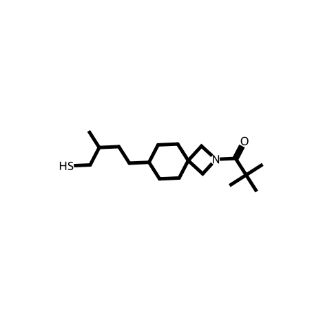 CC(CS)CCC1CCC2(CC1)CN(C(=O)C(C)(C)C)C2